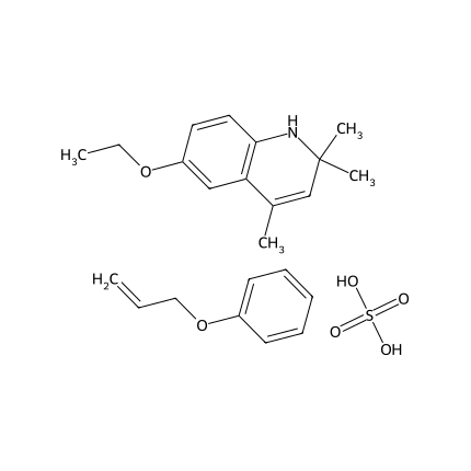 C=CCOc1ccccc1.CCOc1ccc2c(c1)C(C)=CC(C)(C)N2.O=S(=O)(O)O